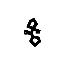 O=C(C1CCCC1)C1(Br)CCCC1